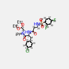 CCOC(CN(C(=O)C(Cc1ccc(Cl)cc1)NC(=O)CCNS(=O)(=O)c1ccc(F)cc1F)C(C)C)OCC